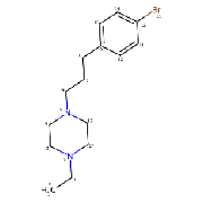 CCN1CCN(CCCc2ccc(Br)cc2)CC1